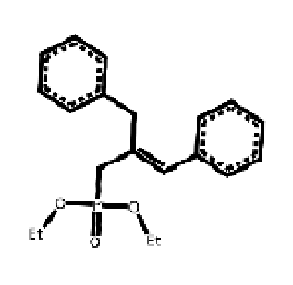 CCOP(=O)(C/C(=C/c1ccccc1)Cc1ccccc1)OCC